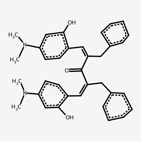 CN(C)c1ccc(C=C(Cc2ccccc2)C(=O)C(=Cc2ccc(N(C)C)cc2O)Cc2ccccc2)c(O)c1